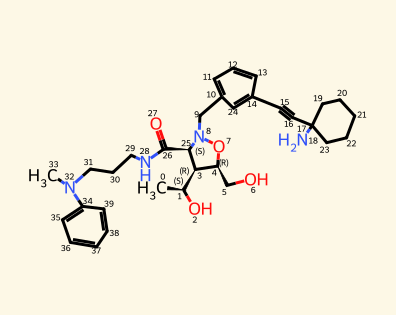 C[C@H](O)[C@@H]1[C@H](CO)ON(Cc2cccc(C#CC3(N)CCCCC3)c2)[C@@H]1C(=O)NCCCN(C)c1ccccc1